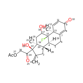 C=C1C[C@H]2[C@@H]3CCC4=CC(=O)C=C[C@]4(C)[C@@]3(F)C(O)C[C@]2(C)[C@@]1(O)C(=O)COC(C)=O